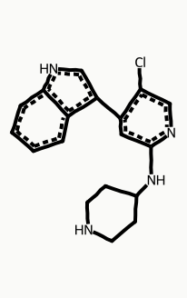 Clc1cnc(NC2CCNCC2)cc1-c1c[nH]c2ccccc12